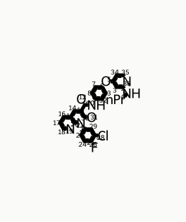 CCCNc1cc(Oc2ccc(NC(=O)c3cc4cccnc4n(-c4ccc(F)c(Cl)c4)c3=O)cc2)ccn1